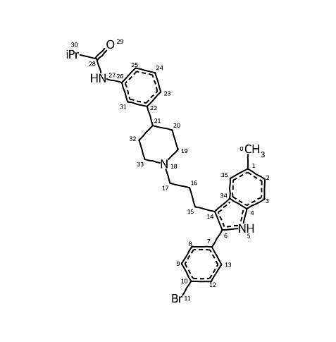 Cc1ccc2[nH]c(-c3ccc(Br)cc3)c(CCCN3CCC(c4cccc(NC(=O)C(C)C)c4)CC3)c2c1